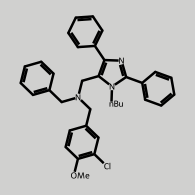 CCCCn1c(-c2ccccc2)nc(-c2ccccc2)c1CN(Cc1ccccc1)Cc1ccc(OC)c(Cl)c1